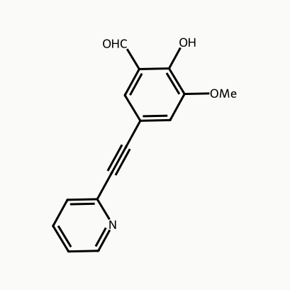 COc1cc(C#Cc2ccccn2)cc(C=O)c1O